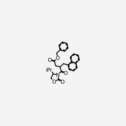 CC(C)C1COC(=O)N1C(=O)C(CC(=O)OCc1ccccc1)Cc1cccc2ccccc12